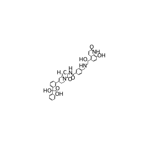 C[C@H](NC(=O)c1ccc(CNC[C@H](O)c2ccc(O)c3[nH]c(=O)ccc23)cc1)C(=O)N1CC=C(c2cccc([C@](O)(C(=O)O)c3ccccc3)c2)CC1